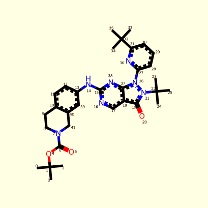 CC(C)(C)OC(=O)N1CCc2ccc(Nc3ncc4c(=O)n(C(C)(C)C)n(-c5cccc(C(C)(C)C)n5)c4n3)cc2C1